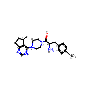 C[C@@H]1CCc2ncnc(N3CCN(C(=O)[C@H](N)Cc4ccc([N+](=O)[O-])cc4)CC3)c21